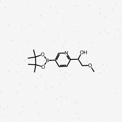 COCC(O)c1ccc(B2OC(C)(C)C(C)(C)O2)cn1